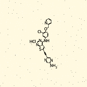 Cl.Nc1cnc(C#Cc2cc3c(Nc4ccc(OCc5ccccn5)c(Cl)c4)ncnc3s2)cn1